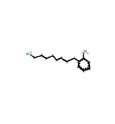 Cc1ccccc1CCCCCCCCBr